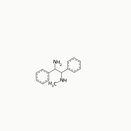 CNC(c1ccccc1)C(N)c1ccccc1